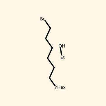 CCCCCCCCCCCCBr.CCO